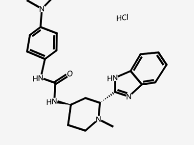 CN(C)c1ccc(NC(=O)N[C@@H]2CCN(C)[C@@H](c3nc4ccccc4[nH]3)C2)cc1.Cl